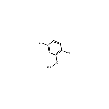 CCCCOc1cc(Cl)ccc1Cl